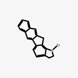 CCN1CCc2ccc3c(c21)Cc1cc2ccccc2cc1-3